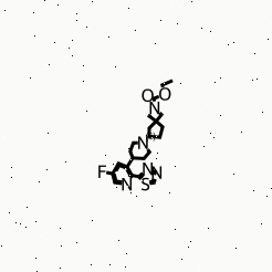 CCOC(=O)N1CC2(CC[C@H](N3CCC(c4cc(F)cnc4-c4nncs4)CC3)C2)C1